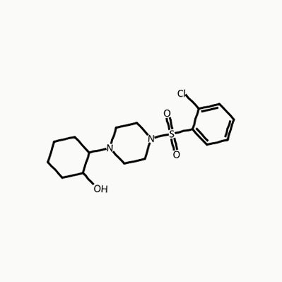 O=S(=O)(c1ccccc1Cl)N1CCN(C2CCCCC2O)CC1